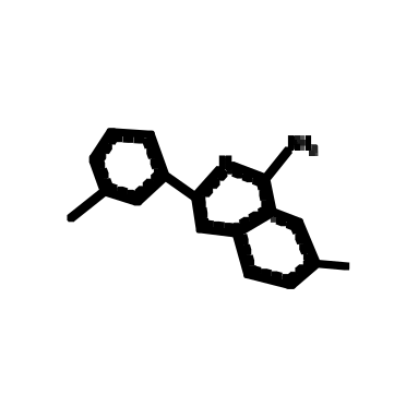 Cc1cccc(-c2cc3ccc(C)cc3c(N)n2)c1